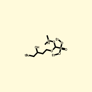 CCOP(=O)(OCC)C(OCCC(O)CC(C)(C)C)O[SiH](C)C